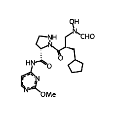 COc1nccc(NC(=O)[C@@H]2CCNN2C(=O)[C@H](CC2CCCC2)CN(O)C=O)n1